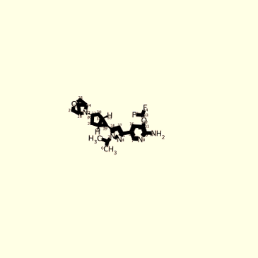 CC(C)n1nc(-c2cnc(N)c(OC(F)F)c2)cc1[C@H]1[C@@H]2C[C@H](N3C4COCC3C4)C[C@@H]21